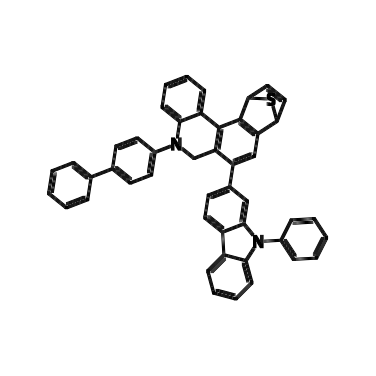 C1=CC2SC1c1cc(-c3ccc4c5ccccc5n(-c5ccccc5)c4c3)c3c(c12)-c1ccccc1N(c1ccc(-c2ccccc2)cc1)C3